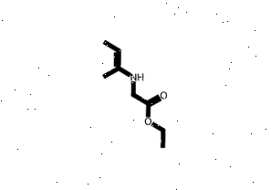 C/C=C(\C)NCC(=O)OCC